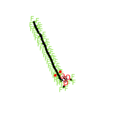 FC(F)(F)O[Si](OC(F)(F)F)(OC(F)(F)F)C(F)(F)C(F)(F)C(F)(F)C(F)(F)C(F)(F)C(F)(F)C(F)(F)C(F)(F)C(F)(F)C(F)(F)C(F)(F)C(F)(F)C(F)(F)C(F)(F)C(F)(F)C(F)(F)C(F)(F)C(F)(F)F